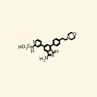 Nc1n[nH]c2c(-c3ccc(CCN4CCOCC4)cc3)cc(-c3ccnc(NC(=O)O)c3)cc12